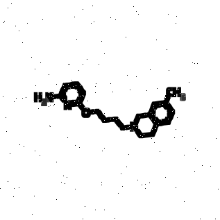 Cc1ccc2c(c1)CN(CCCCOc1cccc(N)n1)CC2